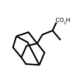 CC(CC12CC3CC(CC(C3)C1)C2)C(=O)O